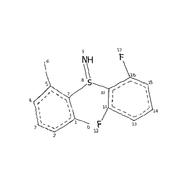 Cc1cccc(C)c1S(=N)c1c(F)cccc1F